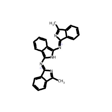 CC1=N/C(=N\c2[nH]c(/N=C3\N=C(C)c4ccccc43)c3ccccc23)c2ccccc21